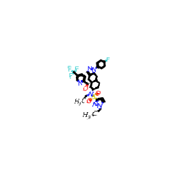 CCN([C@H]1CCC2=Cc3c(cnn3-c3ccc(F)cc3)C[C@]2(C(=O)c2ccc(C(F)(F)F)cn2)C1)S(=O)(=O)c1ccn(CC)n1